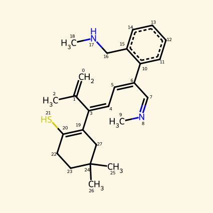 C=C(C)\C(=C/C=C(\C=N/C)c1ccccc1CNC)C1=C(S)CCC(C)(C)C1